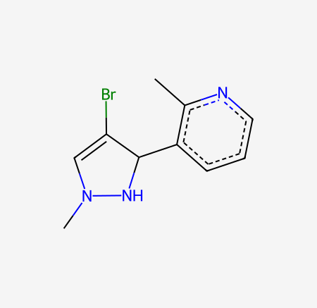 Cc1ncccc1C1NN(C)C=C1Br